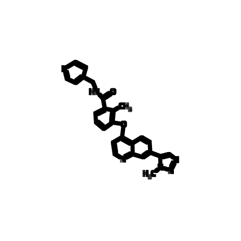 Cc1c(Oc2ccnc3cc(-c4cnnn4C)ccc23)cccc1C(=O)NCc1ccncc1